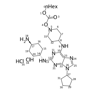 CCCCCCOC(=O)ON1CCC(Nc2nc(N[C@H]3CC[C@H](N)CC3)nc3c2ncn3C2CCCC2)CC1.Cl.Cl